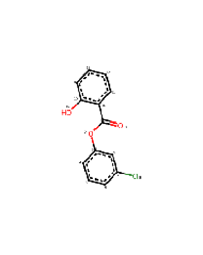 O=C(Oc1cccc(Cl)c1)c1ccccc1O